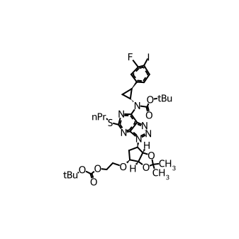 CCCSc1nc(N(C(=O)OC(C)(C)C)[C@@H]2C[C@H]2c2ccc(I)c(F)c2)c2nnn([C@@H]3C[C@H](OCCOC(=O)OC(C)(C)C)[C@H]4OC(C)(C)O[C@H]43)c2n1